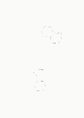 CC(C(=O)Nc1cccc(Cl)c1)C1CCC(c2ccnc3ccc(F)cc23)CC1